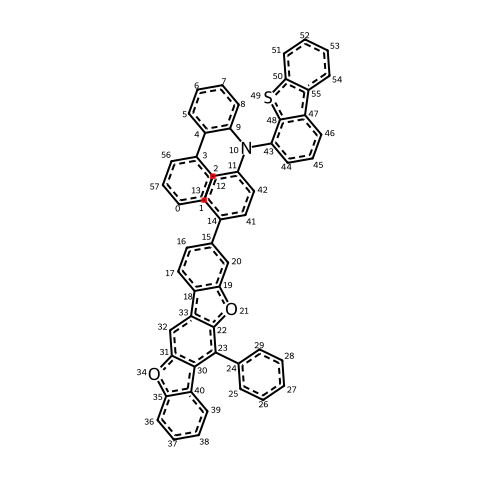 c1ccc(-c2ccccc2N(c2ccc(-c3ccc4c(c3)oc3c(-c5ccccc5)c5c(cc34)oc3ccccc35)cc2)c2cccc3c2sc2ccccc23)cc1